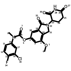 COc1cc(OC(=O)N(C)c2ccc(F)c(Cl)c2)cc2c1CN(C1CCC(=O)NC1=O)C2=O